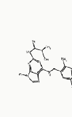 CCC(Nc1nc(NCc2cc(Cl)ccc2N)c2ncn(C(C)C)c2n1)C(C)O